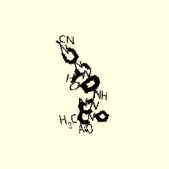 CC(=O)c1c(C)c2cnc(Nc3ccc4c(c3)OC[C@@H]3CN(C5CCN(CC#N)CC5)CCN43)nc2n(C2CCCC2)c1=O